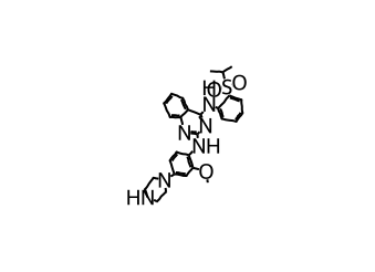 COc1cc(N2CCNCC2)ccc1Nc1nc(Nc2ccccc2S(=O)(=O)C(C)C)c2ccccc2n1